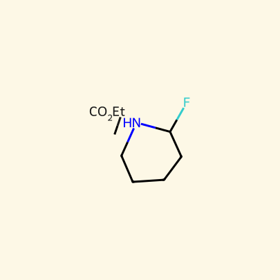 CCOC(C)=O.FC1CCCCN1